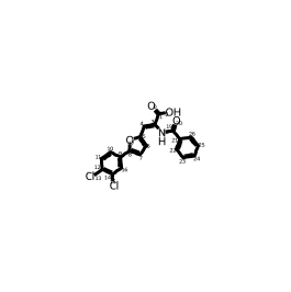 O=C(O)C(=Cc1ccc(-c2ccc(Cl)c(Cl)c2)o1)NC(=O)c1ccccc1